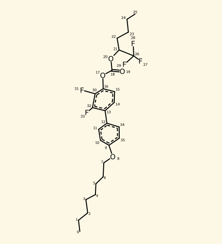 CCCCCCCCOc1ccc(-c2ccc(OC(=O)OC(CCCC)C(F)(F)F)c(F)c2F)cc1